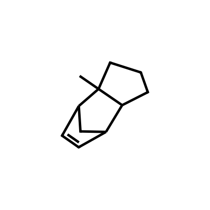 CC12CCCC1C1C=CC2C1